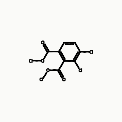 O=C(OCl)c1ccc(Cl)c(Cl)c1C(=O)OCl